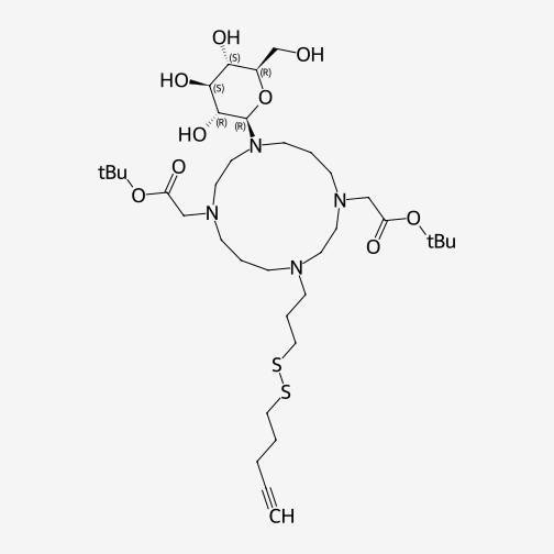 C#CCCCSSCCCN1CCCN(CC(=O)OC(C)(C)C)CCN([C@@H]2O[C@H](CO)[C@@H](O)[C@H](O)[C@H]2O)CCCN(CC(=O)OC(C)(C)C)CC1